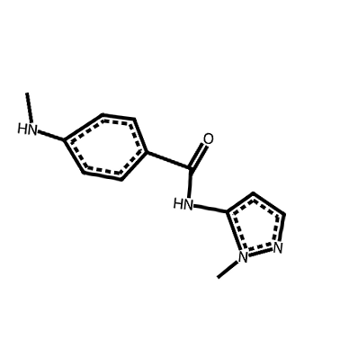 CNc1ccc(C(=O)Nc2ccnn2C)cc1